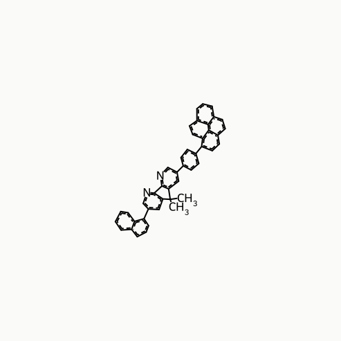 CC1(C)c2cc(-c3ccc(-c4ccc5ccc6cccc7ccc4c5c67)cc3)cnc2-c2ncc(-c3cccc4ccccc34)cc21